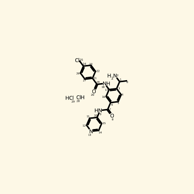 CC(N)c1ccc(C(=O)Nc2ccncc2)cc1NC(=O)c1ccc(Cl)cc1.Cl.Cl